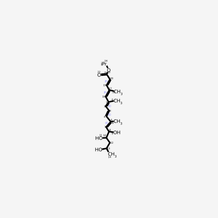 CC(=C\C=C\C(C)=C\C(O)C(O)CC(C)O)/C=C(C)/C=C/C(=O)OC(C)C